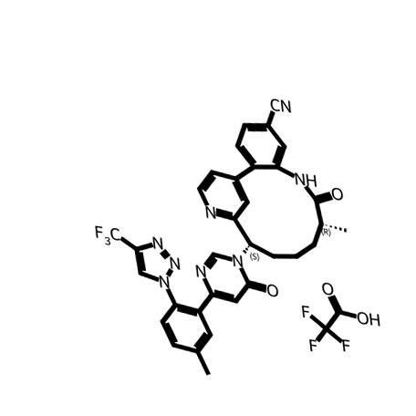 Cc1ccc(-n2cc(C(F)(F)F)nn2)c(-c2cc(=O)n([C@H]3CCC[C@@H](C)C(=O)Nc4cc(C#N)ccc4-c4ccnc3c4)cn2)c1.O=C(O)C(F)(F)F